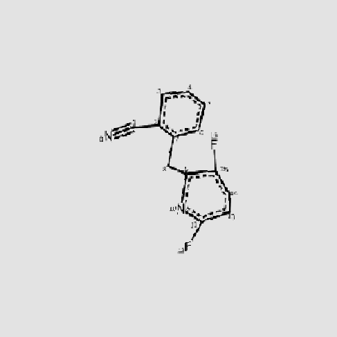 N#Cc1ccccc1Cc1nc(F)ccc1F